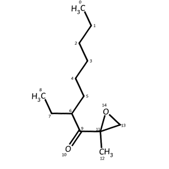 CCCCCCC(CC)C(=O)C1(C)CO1